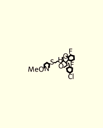 COc1ccc(SCC[C@@H]2OCC[C@@]3(Cc4ccc(Cl)cc4)c4c(F)ccc(F)c4OC[C@@H]23)cn1